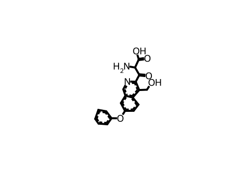 NC(C(=O)O)C(=O)c1ncc2cc(Oc3ccccc3)ccc2c1CO